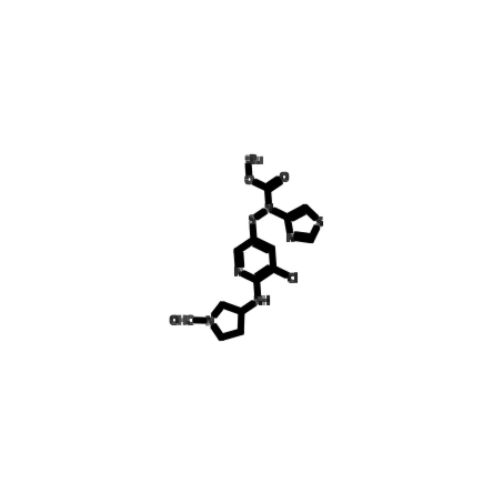 CC(C)(C)OC(=O)N(Sc1cnc(NC2CCN(C=O)C2)c(Cl)c1)c1cscn1